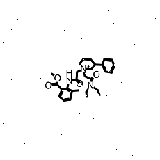 CCN(CC)C(=O)C[N+]1(CC(=O)Nc2c(C)cccc2C(=O)OC)CCCC(c2ccccc2)C1